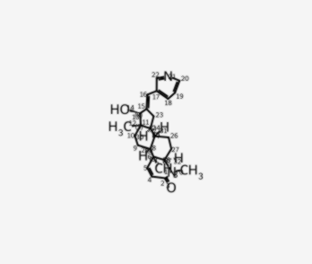 CN1C(=O)C=C[C@]2(C)[C@H]3CC[C@]4(C)[C@@H](O)C(=Cc5cccnc5)C[C@H]4[C@@H]3CC[C@@H]12